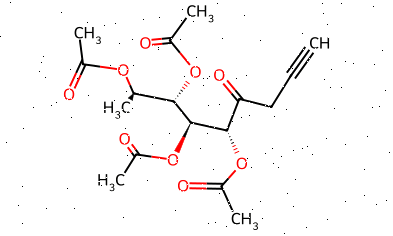 C#CCC(=O)[C@H](OC(C)=O)[C@@H](OC(C)=O)[C@@H](OC(C)=O)[C@@H](C)OC(C)=O